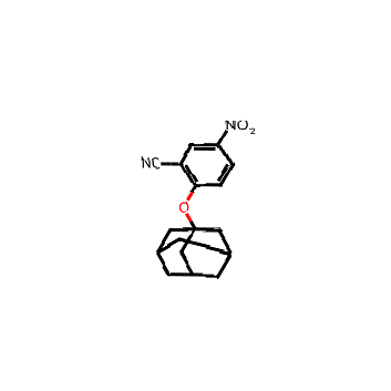 N#Cc1cc([N+](=O)[O-])ccc1OC12CC3CC(CC(C3)C1)C2